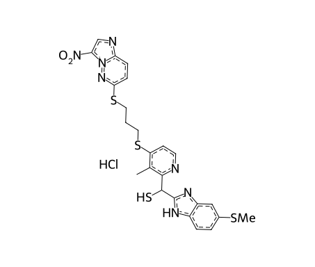 CSc1ccc2[nH]c(C(S)c3nccc(SCCCSc4ccc5ncc([N+](=O)[O-])n5n4)c3C)nc2c1.Cl